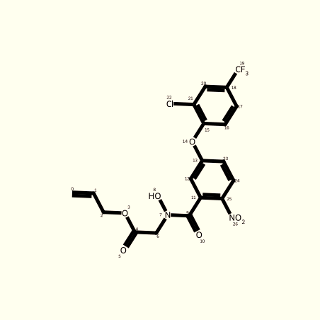 C=CCOC(=O)CN(O)C(=O)c1cc(Oc2ccc(C(F)(F)F)cc2Cl)ccc1[N+](=O)[O-]